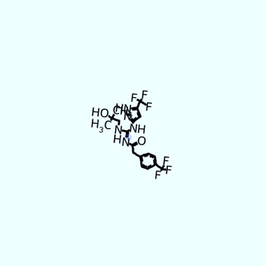 CC(C)(O)CN/C(=N/C(=O)Cc1ccc(C(F)(F)F)cc1)Nc1cc(C(F)(F)F)[nH]n1